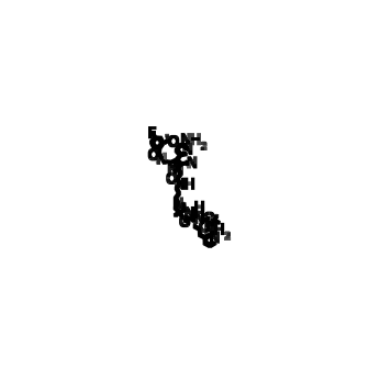 C[C@H]1Oc2cc(cnc2N)-c2c(nn(CC(=O)NCCCN3C[C@H](NC(=O)[C@H](CCCc4cccnc4N)NC(=O)OC(C)(C)C)C(C)(C)C3)c2C#N)CN(C)C(=O)c2ccc(F)cc21